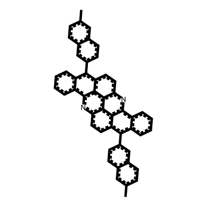 Cc1ccc2cc(-c3c4ccccc4c4nc5ccc6c(-c7ccc8cc(C)ccc8c7)c7ccccc7c7nc8ccc3c4c8c5c67)ccc2c1